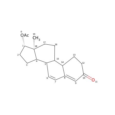 CC(=O)O[C@H]1CCC2C3C=CC4=CC(=O)CCC4C3CC[C@@]21C